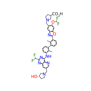 Cc1c(Nc2nc(C(F)F)nc3cc(CN4CC[C@H](O)C4)cnc23)cccc1-c1cccc(-c2nc3cc(CN4CC[C@@H](C(=O)O)C4)c(OC(F)F)cc3o2)c1C